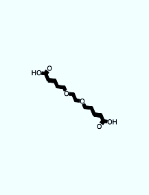 O=C(O)C=CCCOCCOCCC=CC(=O)O